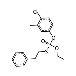 CCOP(=O)(Oc1ccc(Cl)c(C)c1)SCCc1ccccc1